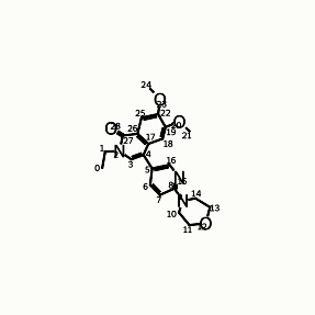 CCn1cc(-c2ccc(N3CCOCC3)nc2)c2cc(OC)c(OC)cc2c1=O